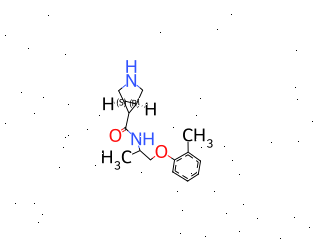 Cc1ccccc1OCC(C)NC(=O)C1[C@H]2CNC[C@@H]12